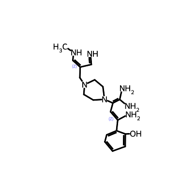 CN/C=C(\C=N)CN1CCN(C(/C=C(\N)c2ccccc2O)=C(N)N)CC1